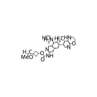 COC1(C)CC(OC(=O)Nc2cc3cc(-c4cnc5c(c4C)NCCO5)c(F)c(N)c3cn2)C1.Cl